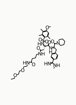 CCOCCOCCNC(=O)CCCNC(=O)C[C@H](NS(=O)(=O)c1c(C)cc(OC)c(C)c1C)C(=O)N[C@H](Cc1ccc(C(=N)NC)cc1)C(=O)N1CCCCC1